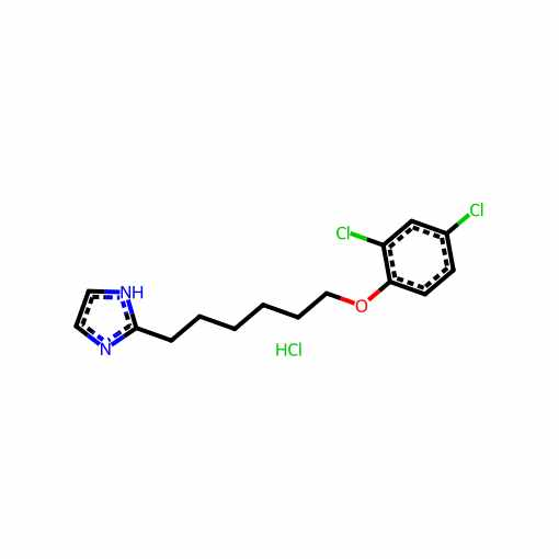 Cl.Clc1ccc(OCCCCCCc2ncc[nH]2)c(Cl)c1